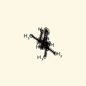 CCCCCCCCCCC[C@H](CC(=O)NC1C(OC[C@H](NC(=O)C[C@@H](CCCCCCCCCCC)OC(=O)CCCCCCCCC)C(=O)O)OC(CO)C(OCP(=O)(O)O)C1NC(=O)C[C@@H](CCCCCCCCCCC)OC(=O)CCCCCCCCC)OC(=O)CCCCCCCCC